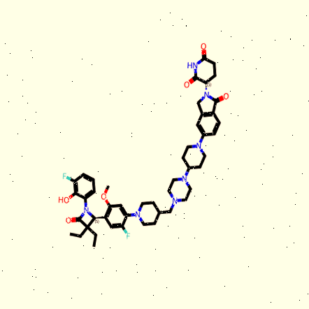 CCC1(CC)C(=O)N(c2cccc(F)c2O)[C@H]1c1cc(F)c(N2CCC(CN3CCN(C4CCN(c5ccc6c(c5)CN([C@H]5CCC(=O)NC5=O)C6=O)CC4)CC3)CC2)cc1OC